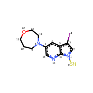 Sn1cc(I)c2cc(N3CCCOCC3)cnc21